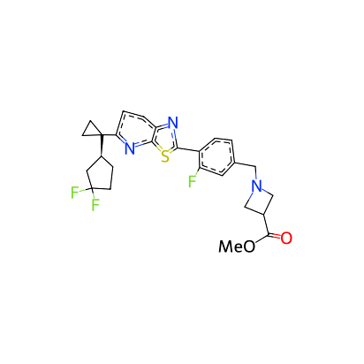 COC(=O)C1CN(Cc2ccc(-c3nc4ccc(C5([C@H]6CCC(F)(F)C6)CC5)nc4s3)c(F)c2)C1